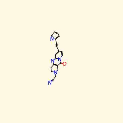 N#CCN1CCc2nc3cc(C#Cc4ccccn4)ccn3c(=O)c2C1